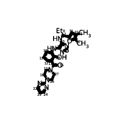 CC[C@@H](Nc1nsnc1Nc1cccc(C(=O)N2CCN(c3ncccn3)CC2)c1O)c1cc(C)c(C)o1